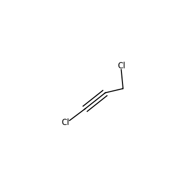 ClC#CCCl